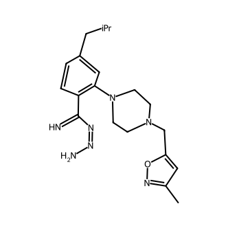 Cc1cc(CN2CCN(c3cc(CC(C)C)ccc3C(=N)/N=N\N)CC2)on1